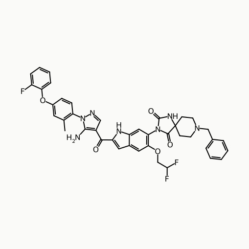 Cc1cc(Oc2ccccc2F)ccc1-n1ncc(C(=O)c2cc3cc(OCC(F)F)c(N4C(=O)NC5(CCN(Cc6ccccc6)CC5)C4=O)cc3[nH]2)c1N